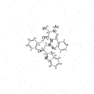 CC(=O)N1C=C(c2ccccc2)N(N(C(C)=O)[C@@H](Cc2ccccc2)C(=O)c2nc3ccccc3s2)C(=O)C1C(C)C